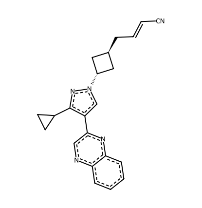 N#CC=CC[C@H]1C[C@H](n2cc(-c3cnc4ccccc4n3)c(C3CC3)n2)C1